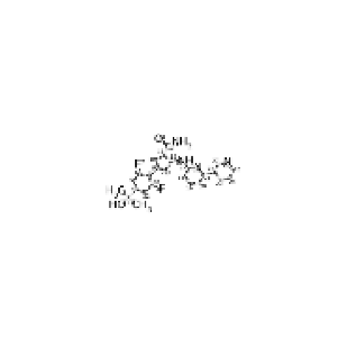 CC(C)(O)c1cc(F)c(-c2cc(C(N)=O)c(Nc3cccc(-c4cccnc4)n3)s2)c(F)c1